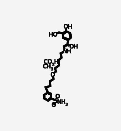 CC(=O)O.NS(=O)(=O)c1cccc(CCCCOCCCCCCNC[C@H](O)c2ccc(O)c(CO)c2)c1